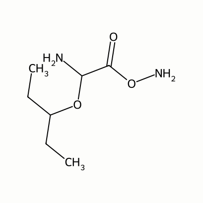 CCC(CC)OC(N)C(=O)ON